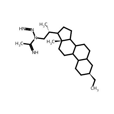 CC[C@H]1CCC2C(CCC3C2CC[C@@]2(C)C3CCC2[C@@H](C)CN(N=N)C(C)=N)C1